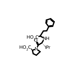 CC(C)[C@@H](NC(CCc1ccccc1)C(=O)O)C(=O)N1CCC[C@H]1C(=O)O